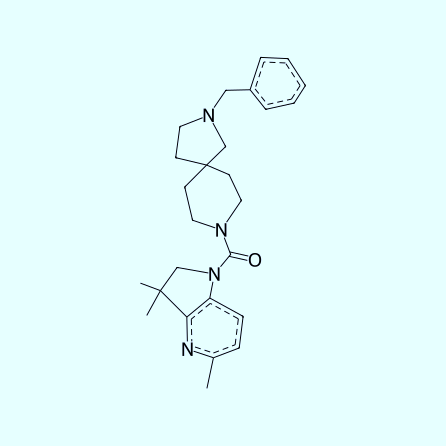 Cc1ccc2c(n1)C(C)(C)CN2C(=O)N1CCC2(CCN(Cc3ccccc3)C2)CC1